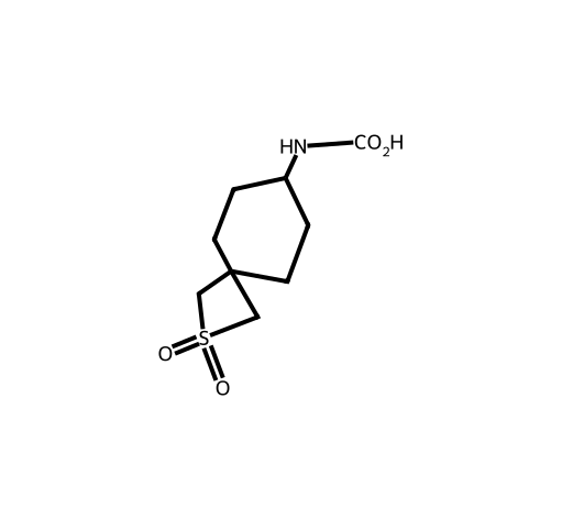 O=C(O)NC1CCC2(CC1)CS(=O)(=O)C2